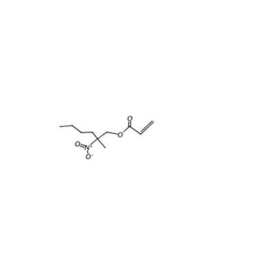 C=CC(=O)OCC(C)(CCCC)[N+](=O)[O-]